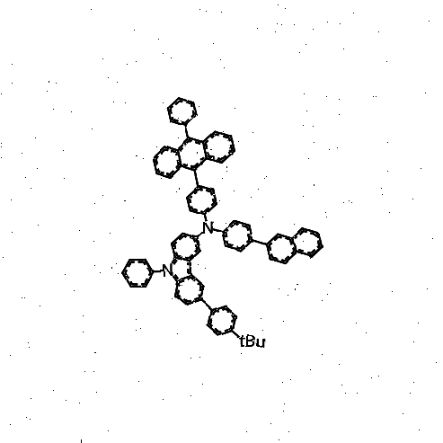 CC(C)(C)c1ccc(-c2ccc3c(c2)c2cc(N(c4ccc(-c5ccc6ccccc6c5)cc4)c4ccc(-c5c6ccccc6c(-c6ccccc6)c6ccccc56)cc4)ccc2n3-c2ccccc2)cc1